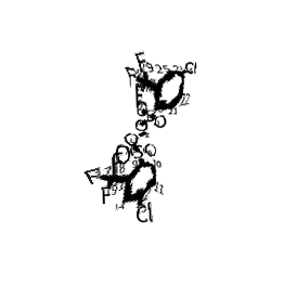 O=S(=O)(OCOS(=O)(=O)c1ccc(Cl)cc1C(F)(F)F)c1ccc(Cl)cc1C(F)(F)F